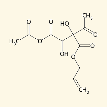 C=CCOC(=O)C(O)(C(C)=O)C(O)C(=O)OC(C)=O